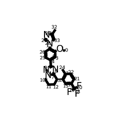 COc1cc(-c2nc3n(n2)CCC[C@@H]3c2cc(C(F)(F)F)ccc2C)ccc1-n1cnc(C)c1